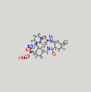 Nc1cc(CN2C(=O)c3ccc(Cl)cc3NC(=O)C2Cc2ccccn2)ccc1C(=O)O